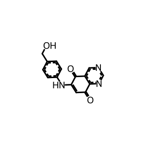 O=C1C(Nc2ccc(CO)cc2)=CC(=O)c2ncncc21